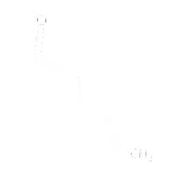 C.CC(C)CCC=O